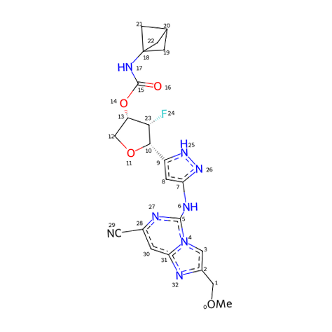 COCc1cn2c(Nc3cc([C@@H]4OC[C@H](OC(=O)NC56CC(C5)C6)[C@@H]4F)[nH]n3)nc(C#N)cc2n1